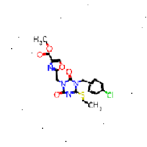 CCSc1nc(=O)n(Cc2nc(C(=O)OC)co2)c(=O)n1Cc1ccc(Cl)cc1